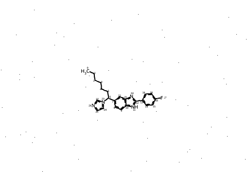 CCCCCCC(c1ccc2[nH]c(-c3ccc(F)cc3)nc2c1)n1ccnc1